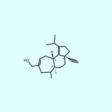 CC(C)C1=C2[C@H]3CC=C(CO)CC(C)[C@]3(C)CC[C@@]2(C#N)CC1